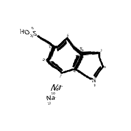 O=S(=O)(O)c1ccc2c(c1)CC=N2.[Na].[Na]